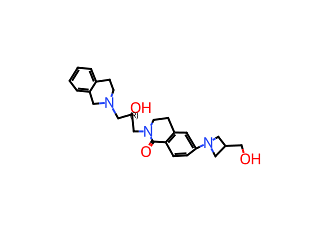 O=C1c2ccc(N3CC(CO)C3)cc2CCN1C[C@H](O)CN1CCc2ccccc2C1